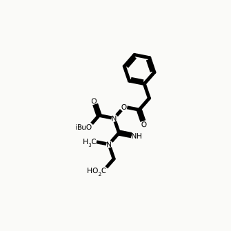 CC(C)COC(=O)N(OC(=O)Cc1ccccc1)C(=N)N(C)CC(=O)O